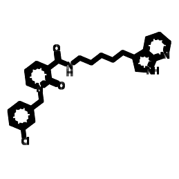 O=C(NCCCCCc1c[nH]c2ncccc12)c1cccn(Cc2cccc(Cl)c2)c1=O